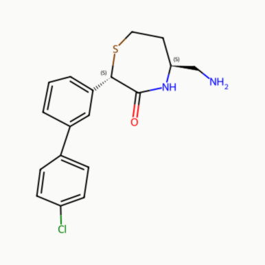 NC[C@@H]1CCS[C@@H](c2cccc(-c3ccc(Cl)cc3)c2)C(=O)N1